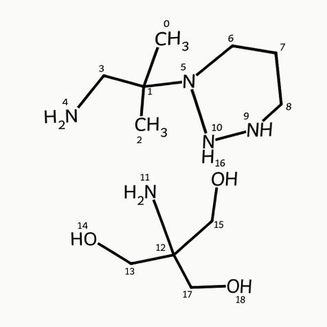 CC(C)(CN)N1CCCNN1.NC(CO)(CO)CO